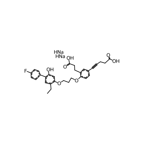 CCc1cc(-c2ccc(F)cc2)c(O)cc1OCCCOc1ccc(C#CCCC(=O)O)cc1CCC(=O)O.[NaH].[NaH]